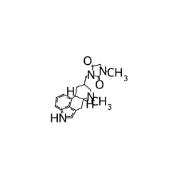 CN1CC(=O)N(C[C@@H]2C[C@@H]3c4cccc5[nH]cc(c45)C[C@H]3N(C)C2)C1=O